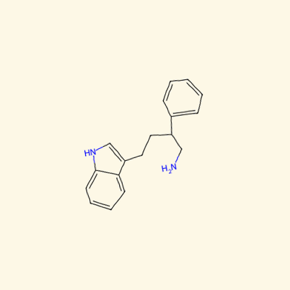 NCC(CCc1c[nH]c2ccccc12)c1ccccc1